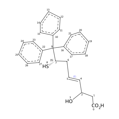 O=C(O)CC(O)/C=C/C[C@H](S)C(c1ccccc1)(c1ccccc1)c1ccccc1